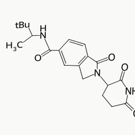 CC(NC(=O)c1ccc2c(c1)CN(C1CCC(=O)NC1=O)C2=O)C(C)(C)C